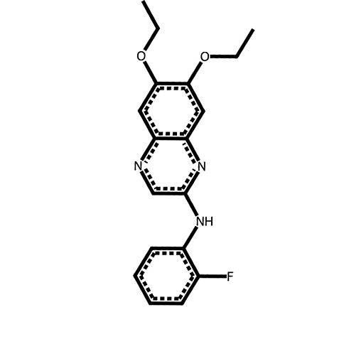 CCOc1cc2ncc(Nc3ccccc3F)nc2cc1OCC